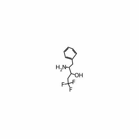 N[C@@H](Cc1ccccc1)C(O)CC(F)(F)F